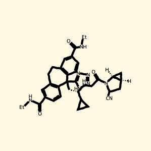 CCNC(=O)c1ccc2c(c1)CCc1cc(C(=O)NCC)ccc1C2(C[C@H](NCC(=O)N1C(C#N)C[C@@H]2C[C@@H]21)C1CC1)c1nnn[nH]1